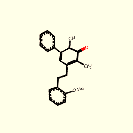 [CH2]C1=C(CCc2ccccc2OC)C=C(c2ccccc2)C(C#N)C1=O